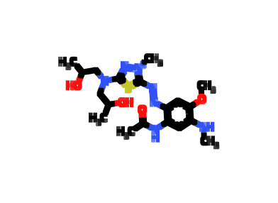 CNc1cc(NC(C)=O)c(N=Nc2sc(N(CC(C)O)CC(C)O)n[n+]2C)cc1OC